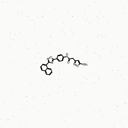 CC(C)(C)c1cc(CC(=O)Nc2ccc(-c3nc(-c4cccc5ccccc45)no3)cc2)no1